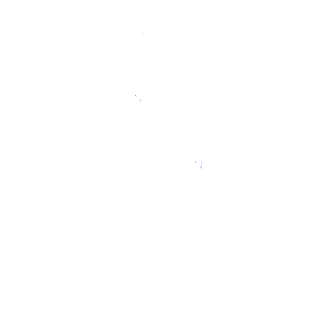 Cc1cccc(Cn2ccc3c2ccc(=O)n3-c2ccccc2)c1